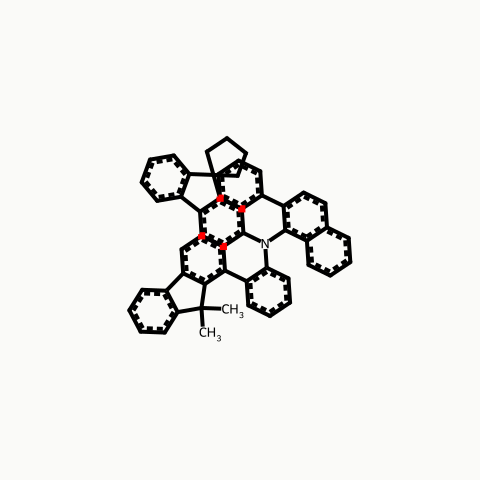 CC1(C)c2ccccc2-c2cccc(-c3ccccc3N(c3ccc4c(c3)C3(CCCC3)c3ccccc3-4)c3c(-c4ccccc4)ccc4ccccc34)c21